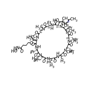 C/C=C/C[C@@H](C)[C@@H](O)[C@H]1C(=O)N[C@@H](CC)C(=O)N(C)CC(=O)N(C)[C@@H]([C@@H](C)OCCCC(=O)NO)C(=O)N[C@@H](C(C)C)C(=O)N(C)[C@@H](CC(C)C)C(=O)N[C@@H](C)C(=O)N[C@H](C)C(=O)N(C)[C@@H](CC(C)C)C(=O)N(C)[C@@H](CC(C)C)C(=O)N(C)[C@H](C(C)C)C(=O)N1C